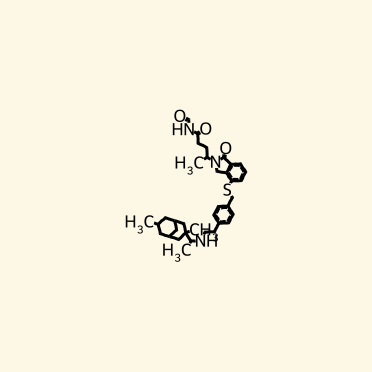 CC1CC2CC(C1)CC(C)(C(C)NCCc1ccc(CSc3cccc4c3CN(C(C)CCC(=O)NC=O)C4=O)cc1)C2